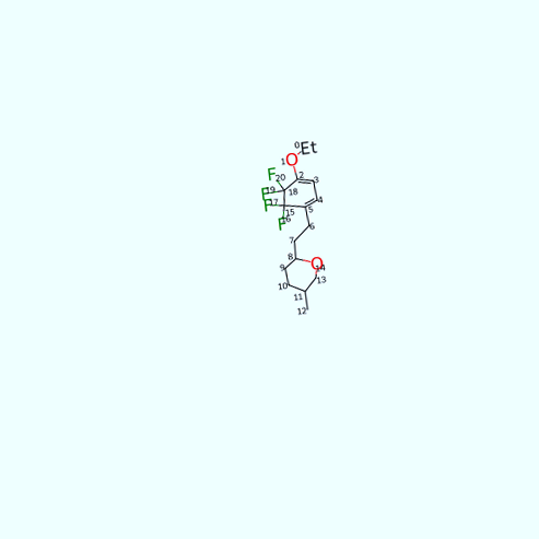 CCOC1=CC=C(CCC2CCC(C)CO2)C(F)(F)C1(F)F